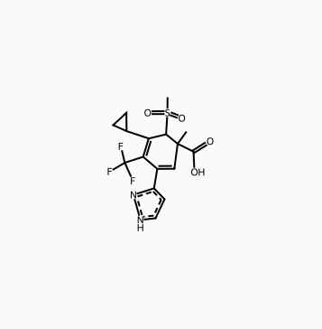 CC1(C(=O)O)C=C(c2cc[nH]n2)C(C(F)(F)F)=C(C2CC2)C1S(C)(=O)=O